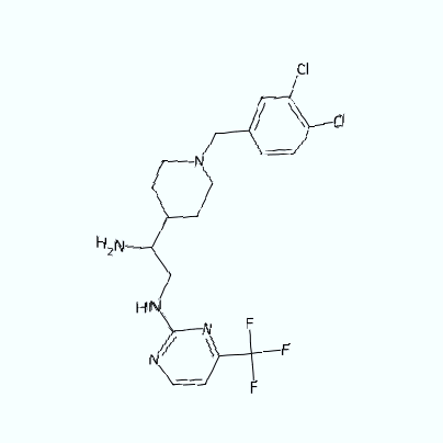 NC(CNc1nccc(C(F)(F)F)n1)C1CCN(Cc2ccc(Cl)c(Cl)c2)CC1